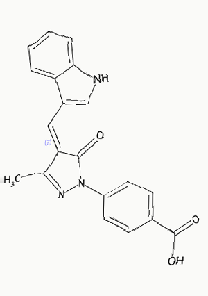 CC1=NN(c2ccc(C(=O)O)cc2)C(=O)/C1=C\c1c[nH]c2ccccc12